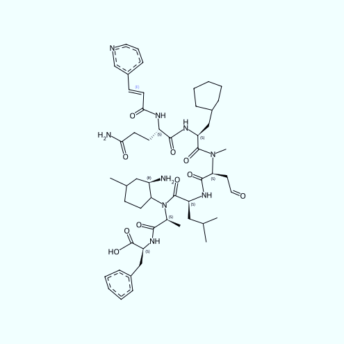 CC(C)C[C@H](NC(=O)[C@H](CC=O)N(C)C(=O)[C@H](CC1CCCCC1)NC(=O)[C@H](CCC(N)=O)NC(=O)/C=C/c1cccnc1)C(=O)N(C1CCC(C)C[C@H]1N)[C@@H](C)C(=O)N[C@@H](Cc1ccccc1)C(=O)O